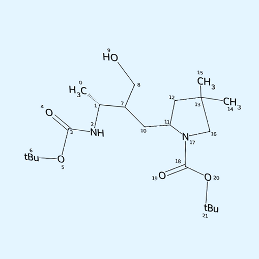 C[C@@H](NC(=O)OC(C)(C)C)C(CO)CC1CC(C)(C)CN1C(=O)OC(C)(C)C